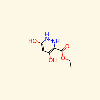 CCOC(=O)C1=C(O)C=C(O)NN1